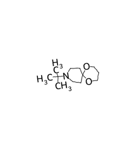 CC(C)(C)N1CCC2(CC1)OCCCO2